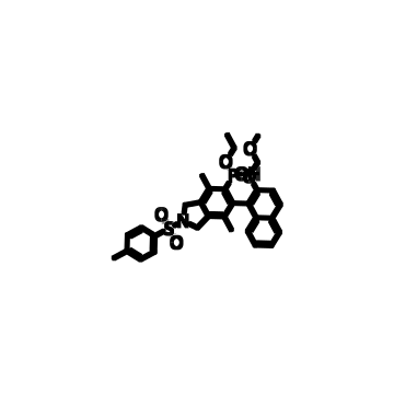 CCOP(O)c1c(C)c2c(c(C)c1-c1c(OCOC)ccc3ccccc13)CN(S(=O)(=O)c1ccc(C)cc1)C2